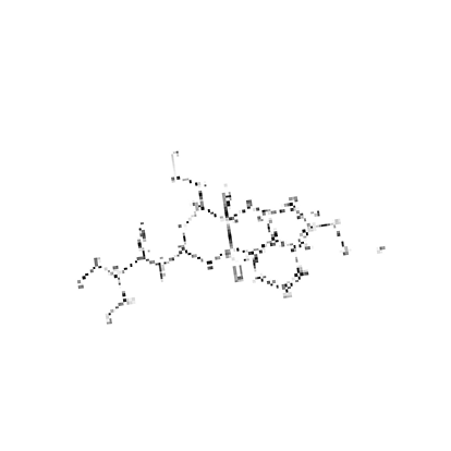 CCCN1CC(NC(=S)N(CC)CC)C[C@@H]2c3cccc4c3c(cn4CCC)C[C@H]21